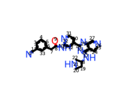 N#Cc1cccc(CC(=O)Nc2cc(-c3nc(NC4CCNC4)c4ccncc4n3)ccn2)c1